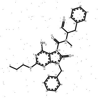 CCCSc1nc(N)c2c(n1)n(Cc1ccccc1)c(=O)n2C(=O)N(C)C(C=O)Cc1ccccc1